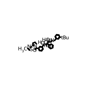 Cc1csc([C@H]2CCCN2C(=O)c2cccc(C(=O)N[C@@](C)(c3ccccc3)[C@H](O)CNCc3cccc(C(C)(C)C)c3)c2)n1